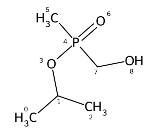 CC(C)OP(C)(=O)CO